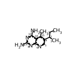 CCC(C)c1cnc2nc(N)nc(N)c2c1C